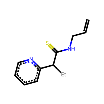 C=CCNC(=S)C(CC)c1ccccn1